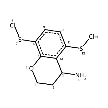 NC1CCOc2c(SCl)ccc(SCl)c21